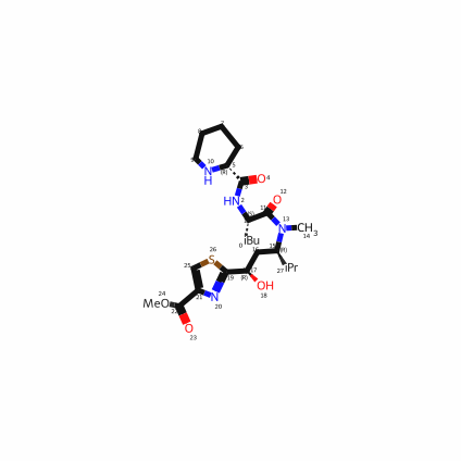 CCC(C)[C@H](NC(=O)[C@H]1CCCCN1)C(=O)N(C)[C@H](C[C@@H](O)c1nc(C(=O)OC)cs1)C(C)C